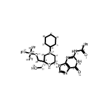 CC(C)C(=O)Nc1nc2c(ncn2[C@H]2CN(C3CCCCC3)C[C@](CO)(CO[Si](C(C)C)(C(C)C)C(C)C)O2)c(=O)[nH]1